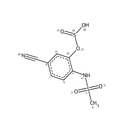 CS(=O)(=O)Nc1ccc(C#N)cc1OS(=O)O